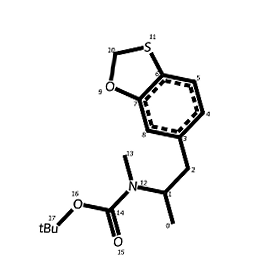 CC(Cc1ccc2c(c1)OCS2)N(C)C(=O)OC(C)(C)C